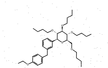 CCCCOC[C@H]1S[C@@H](c2cccc(Cc3ccc(OCC)cc3)c2)[C@H](OCCCC)[C@@H](OCCCC)[C@@H]1OCCCC